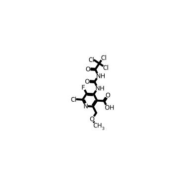 COCc1nc(Cl)c(F)c(NC(=O)NC(=O)C(Cl)(Cl)Cl)c1C(=O)O